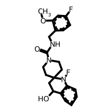 COc1cc(F)ccc1CNC(=O)N1CCC2(CC1)CC(O)c1ccccc1N2F